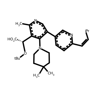 Cc1ncc(-c2ccc(/C=C\C(C)C)nc2)c(N2CCC(C)(C)CC2)c1[C@H](OC(C)(C)C)C(=O)O